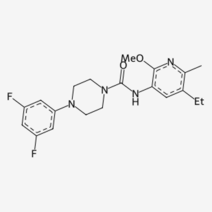 CCc1cc(NC(=O)N2CCN(c3cc(F)cc(F)c3)CC2)c(OC)nc1C